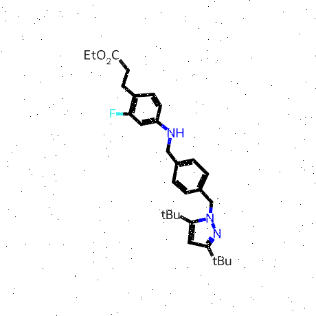 CCOC(=O)CCc1ccc(NCc2ccc(Cn3nc(C(C)(C)C)cc3C(C)(C)C)cc2)cc1F